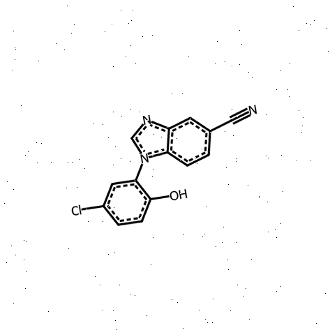 N#Cc1ccc2c(c1)ncn2-c1cc(Cl)ccc1O